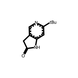 CC(C)(C)c1cc2c(cn1)CC(=O)N2